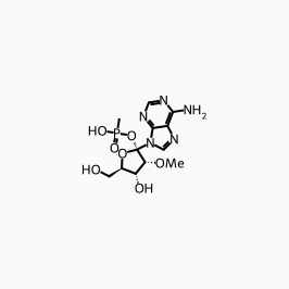 CO[C@@H]1[C@H](O)[C@@H](CO)O[C@@]1(OP(C)(=O)O)n1cnc2c(N)ncnc21